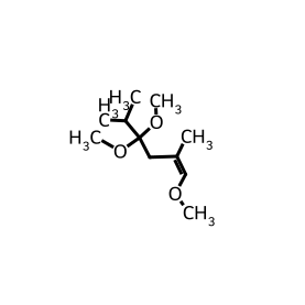 COC=C(C)CC(OC)(OC)C(C)C